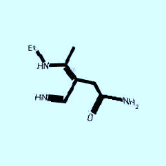 CCN/C(C)=C(\C=N)CC(N)=O